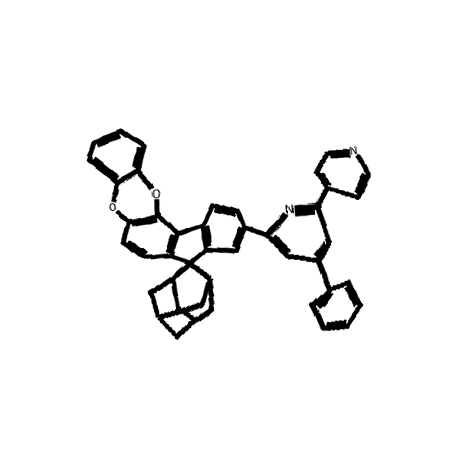 c1ccc(-c2cc(-c3ccncc3)nc(-c3ccc4c(c3)C3(c5ccc6c(c5-4)Oc4ccccc4O6)C4CC5CC(C4)CC3C5)c2)cc1